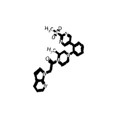 CC1CN(c2ccccc2-c2cnc(S(C)(=O)=O)nc2)CCN1C(=O)Cn1ccc2cccnc21